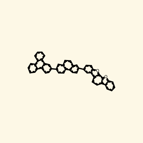 c1ccc2c(c1)oc1c2ccc2c3cc(-c4ccc5c(ccc6cc(-c7ccc8c9ccccc9c9ccccc9c8c7)ccc65)c4)ccc3oc21